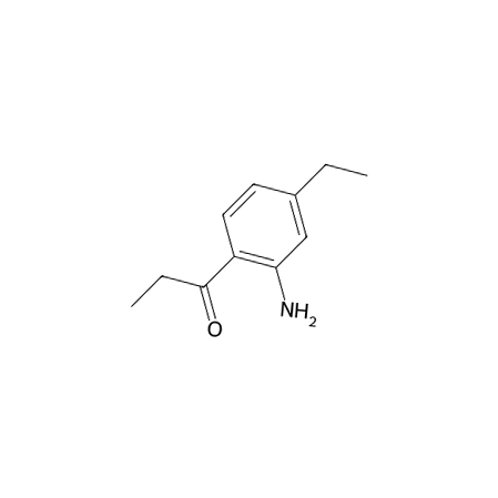 CCC(=O)c1ccc(CC)cc1N